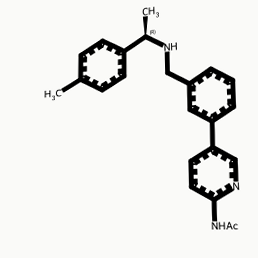 CC(=O)Nc1ccc(-c2cccc(CN[C@H](C)c3ccc(C)cc3)c2)cn1